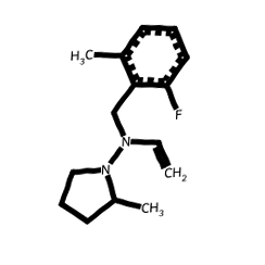 C=CN(Cc1c(C)cccc1F)N1CCCC1C